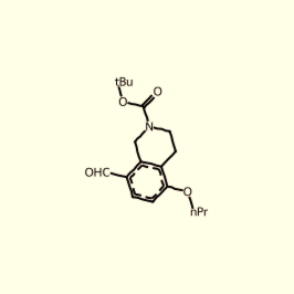 CCCOc1ccc(C=O)c2c1CCN(C(=O)OC(C)(C)C)C2